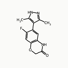 Cc1n[nH]c(C)c1-c1cc2c(cc1F)OCC(=O)N2